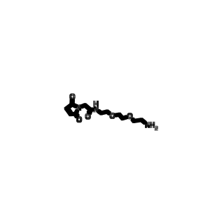 NCCOCCOCCNC(=O)CN1C(=O)C=CC1=O